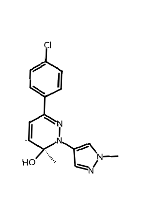 Cn1cc(N2N=C(c3ccc(Cl)cc3)C=[C][C@]2(C)O)cn1